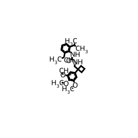 COc1cc(C2(CNC(=O)Nc3c(C(C)C)cccc3C(C)C)CCC2)cc(OC)c1OC